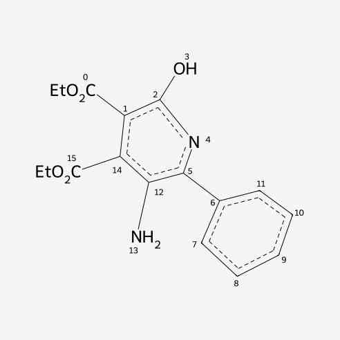 CCOC(=O)c1c(O)nc(-c2ccccc2)c(N)c1C(=O)OCC